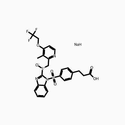 Cc1c(OCC(F)(F)F)ccnc1C[S+]([O-])c1nc2ccccc2n1S(=O)(=O)c1ccc(CCC(=O)O)cc1.[NaH]